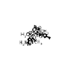 C/N=C/[C@@]1(c2ccc3c(N)ncnn23)O[C@H](COP(=O)(N[C@@H](C)C(=O)OC2CCC2)Oc2ccc(C3CC3)cc2)[C@@H](OC(C)=O)[C@H]1OC(C)=O